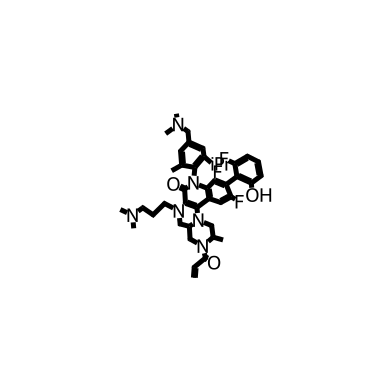 C=CC(=O)N1CC2CN(CCCN(C)C)c3c(c4cc(F)c(-c5c(O)cccc5F)c(F)c4n(-c4c(C)cc(CN(C)C)cc4C(C)C)c3=O)N2CC1C